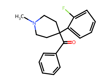 CN1CCC(C(=O)c2ccccc2)(c2ccccc2F)CC1